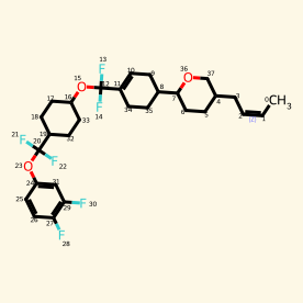 C/C=C\CC1CCC(C2CC=C(C(F)(F)OC3CCC(C(F)(F)Oc4ccc(F)c(F)c4)CC3)CC2)OC1